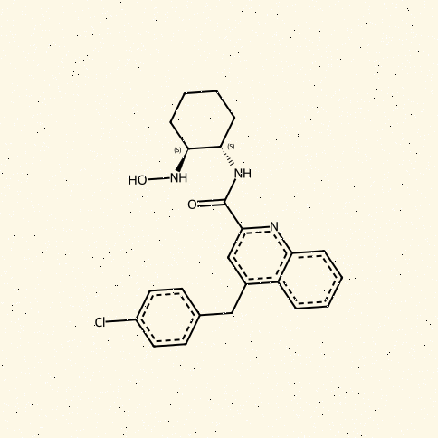 O=C(N[C@H]1CCCC[C@@H]1NO)c1cc(Cc2ccc(Cl)cc2)c2ccccc2n1